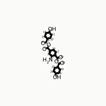 Nc1cc(C(=O)OC(=O)c2ccc(O)cc2)ccc1C(=O)OC(=O)c1ccc(O)cc1